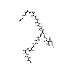 CCCCC/C=C\C/C=C\CCCCCCCCOCC(CSSC/C(=C/N)NC)OCCCCCCCC/C=C\C/C=C\CCCCC